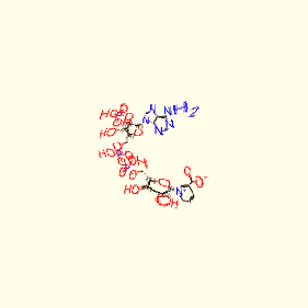 Nc1ncnc2c1ncn2[C@@H]1O[C@H](COP(=O)(O)OP(=O)(O)OC[C@@H]2O[C@H]([n+]3cccc(C(=O)[O-])c3)[C@@H](O)[C@H]2O)[C@@H](O)[C@H]1OP(=O)(O)O